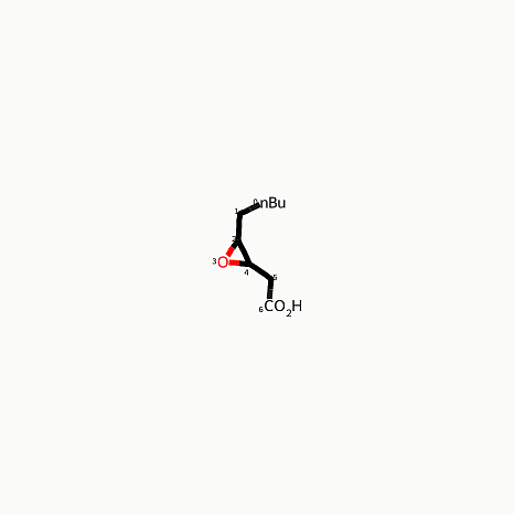 CCCCCC1OC1CC(=O)O